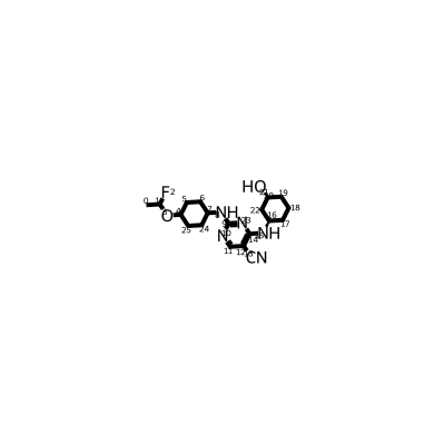 CC(F)OC1CCC(Nc2ncc(C#N)c(N[C@@H]3CCC[C@H](O)C3)n2)CC1